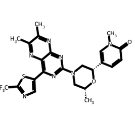 Cc1nc2nc(N3C[C@@H](C)O[C@@H](c4ccc(=O)n(C)c4)C3)nc(-c3cnc(C(F)(F)F)s3)c2nc1C